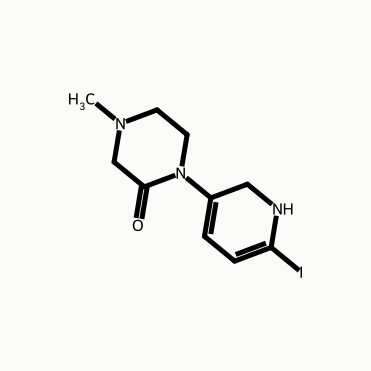 CN1CCN(C2=CC=C(I)NC2)C(=O)C1